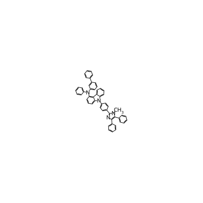 Cn1c(-c2ccc(-n3c4ccccc4c4c(N(c5ccccc5)c5cccc(-c6ccccc6)c5)cccc43)cc2)nc(-c2ccccc2)c1-c1ccccc1